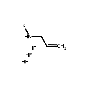 C=CCN[S].F.F.F